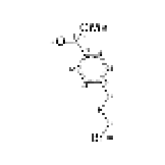 COC(=O)c1ccc(CCCBr)cc1